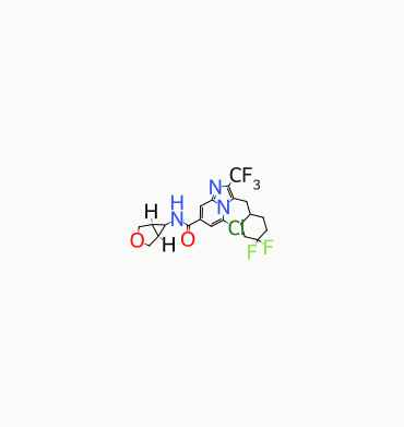 O=C(NC1[C@H]2COC[C@@H]12)c1cc(Cl)n2c(CC3CCC(F)(F)CC3)c(C(F)(F)F)nc2c1